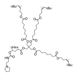 CCCC/C=C\CCOC(=O)CCCCCCC(=O)OCC(COC(=O)CCCCCCC(=O)OCC/C=C\CCCC)(COC(=O)CCCCCCC(=O)OCC/C=C\CCCC)COC(=O)CCC(CCCCCC)OC(=O)NCCN1CCCC1